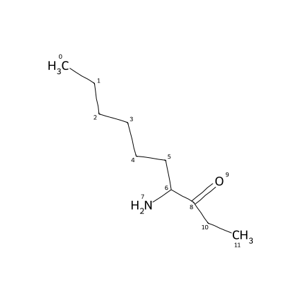 CCCCCCC(N)C(=O)CC